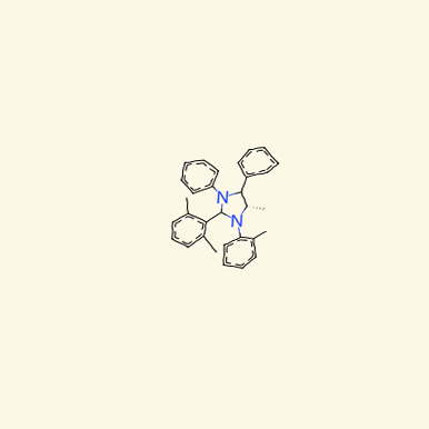 Cc1ccccc1N1C(c2c(C)cccc2C)N(c2ccccc2)C(c2ccccc2)[C@@H]1C